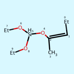 CCC=C(C)O[SiH](OCC)OCC